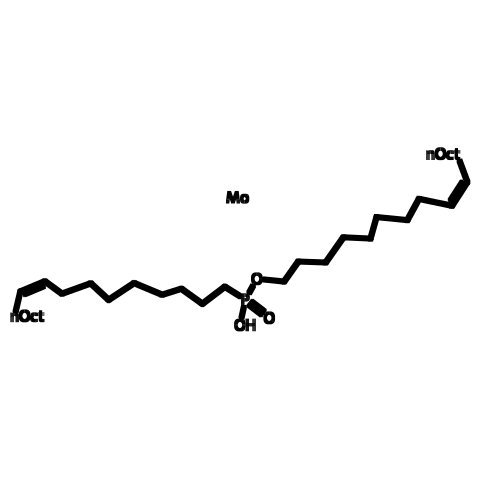 CCCCCCCC/C=C\CCCCCCCCOP(=O)(O)CCCCCCCC/C=C\CCCCCCCC.[Mo]